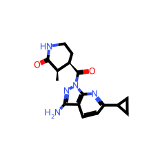 C[C@H]1C(=O)NCC[C@H]1C(=O)n1nc(N)c2ccc(C3CC3)nc21